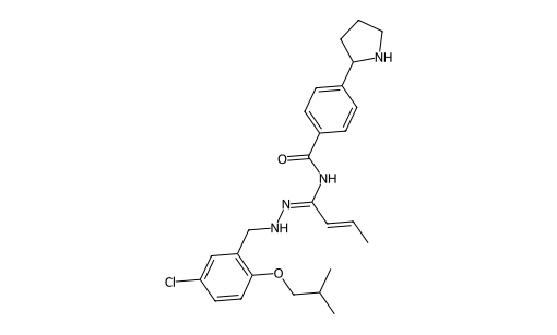 C/C=C/C(=N\NCc1cc(Cl)ccc1OCC(C)C)NC(=O)c1ccc(C2CCCN2)cc1